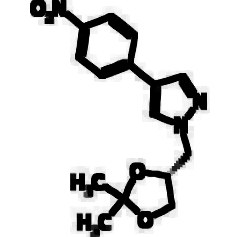 CC1(C)OC[C@@H](Cn2cc(-c3ccc([N+](=O)[O-])cc3)cn2)O1